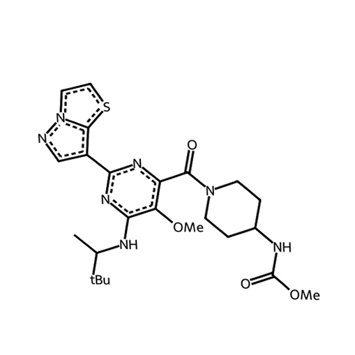 COC(=O)NC1CCN(C(=O)c2nc(-c3cnn4ccsc34)nc(NC(C)C(C)(C)C)c2OC)CC1